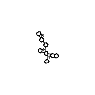 c1ccc(-n2c3cc4ccccc4cc3c3cc4c(cc32)c2ccccc2n4-c2cccc(-c3ccc4c(c3)oc3ccccc34)c2)cc1